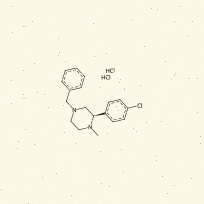 CN1CCN(Cc2ccccc2)C[C@H]1c1ccc(Cl)cc1.Cl.Cl